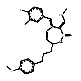 CN/C=C1\C(=C\c2ccc(F)c(F)c2)C=CC(CCCc2ccc(OC)cc2)NS1=N